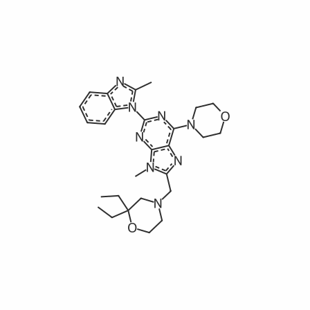 CCC1(CC)CN(Cc2nc3c(N4CCOCC4)nc(-n4c(C)nc5ccccc54)nc3n2C)CCO1